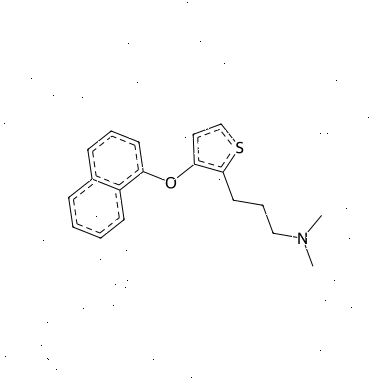 CN(C)CCCc1sccc1Oc1cccc2ccccc12